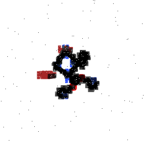 Br.Br.Br.Br.C1=Cc2cc3cc(-c4cc(OCCc5ccccn5)cc(OCCc5ccccn5)c4)c(cc4nc(cc5ccc(cc1n2)[nH]5)-c1c-4ccc2ccccc12)[nH]3